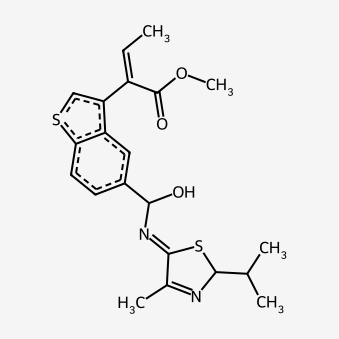 CC=C(C(=O)OC)c1csc2ccc(C(O)N=C3SC(C(C)C)N=C3C)cc12